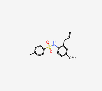 C=CCc1cc(OC)ccc1NS(=O)(=O)c1ccc(C)cc1